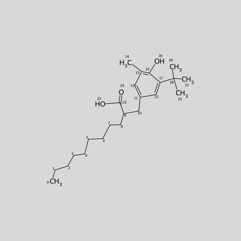 CCCCCCCCCC(Cc1cc(C)c(O)c(C(C)(C)C)c1)C(=O)O